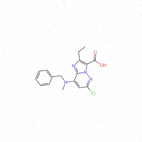 CCc1nc2c(N(C)Cc3ccccc3)cc(Cl)nn2c1C(=O)O